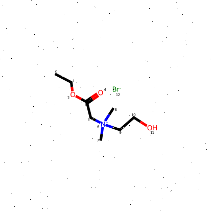 CCOC(=O)C[N+](C)(C)CCO.[Br-]